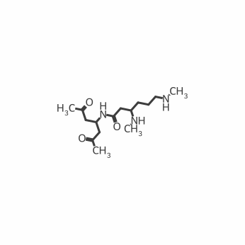 CNCCCC(CC(=O)NC(CC(C)=O)CC(C)=O)NC